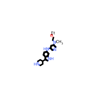 CCOCCN(C)c1cncc(Nc2ccc3c(C4CCNCC4)c[nH]c3c2)c1